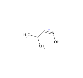 C[C](C)/C=N\O